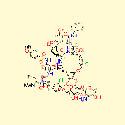 CCCOc1ccc(S(=O)(=O)NC(=O)C[C@@H]2NC(=O)[C@H](NC(=O)[C@@H](CC(C)C)NC)[C@H](O)c3ccc(c(Cl)c3)Oc3cc4cc(c3O[C@@H]3O[C@H](CO)[C@@H](O)[C@H](O)[C@H]3O[C@H]3C[C@](C)(N)[C@H](O)[C@H](C)O3)Oc3ccc(cc3Cl)[C@@H](O)[C@@H]3NC(=O)[C@H](NC(=O)[C@@H]4NC2=O)c2ccc(O)c(c2)-c2c(O)cc(O)cc2[C@@H](C(=O)NC2C4CC5CC(C4)CC2C5)NC3=O)cc1